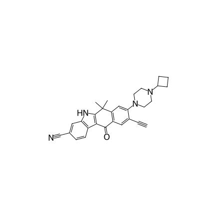 C#Cc1cc2c(cc1N1CCN(C3CCC3)CC1)C(C)(C)c1[nH]c3cc(C#N)ccc3c1C2=O